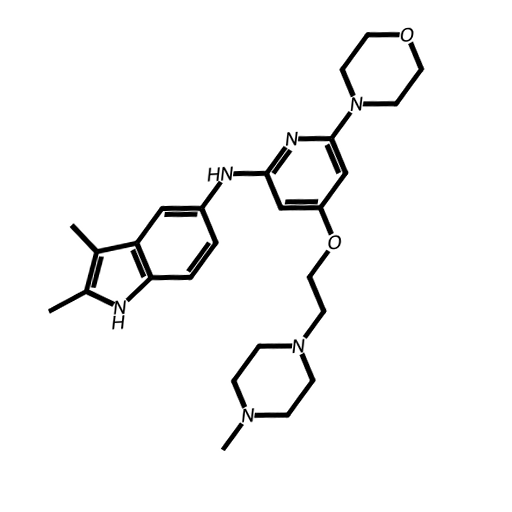 Cc1[nH]c2ccc(Nc3cc(OCCN4CCN(C)CC4)cc(N4CCOCC4)n3)cc2c1C